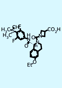 CCOc1ccc2c(c1)CCN(C(=O)N1CC(C(=O)O)C1)[C@H]2C(=O)Nc1cc(F)c(S(C)(C)C)c(F)c1